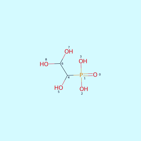 O=P(O)(O)C(O)C(O)O